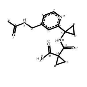 CC(=O)NCc1ccnc(C2(NC(=O)C3(C(N)=O)CC3)CC2)c1